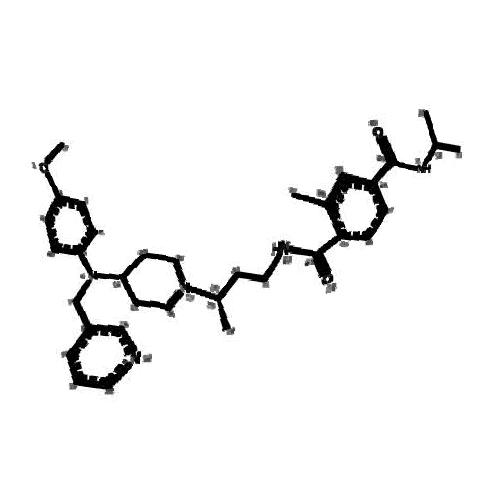 COc1ccc(N(Cc2cccnc2)C2CCN([C@H](C)CCNC(=O)c3ccc(C(=O)NC(C)C)cc3C)CC2)cc1